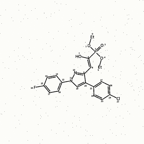 CCOP(=O)(OCC)C(O)=Cc1nn(-c2ccc(F)cc2)cc1-c1ccc(Cl)cc1